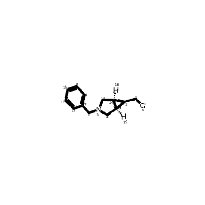 ClCC1[C@H]2CN(Cc3ccccc3)C[C@@H]12